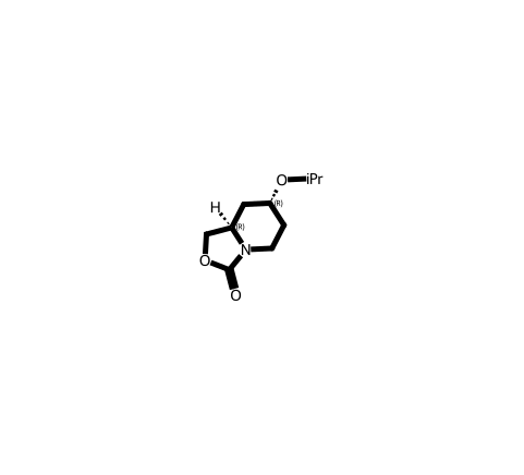 CC(C)O[C@@H]1CCN2C(=O)OC[C@H]2C1